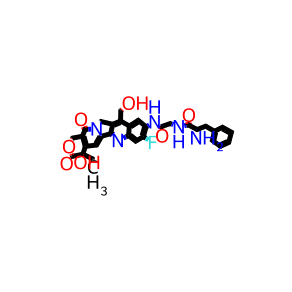 CC[C@@]1(O)C(=O)OCc2c1cc1n(c2=O)Cc2c-1nc1cc(F)c(NC(=O)CNC(=O)[C@@H](N)Cc3ccccc3)cc1c2CO